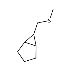 CSCC1C2CCCC21